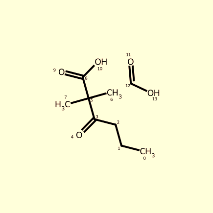 CCCC(=O)C(C)(C)C(=O)O.O=CO